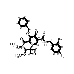 COC1N(OC)C(=O)c2c(OCc3ccccc3)c(=O)c(C(=O)NCc3ccc(F)cc3F)cn2C12COC2